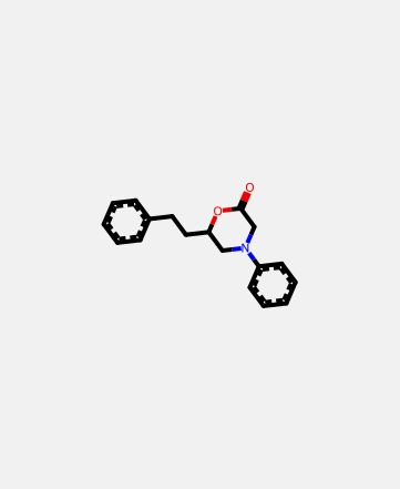 O=C1CN(c2ccccc2)CC(CCc2ccccc2)O1